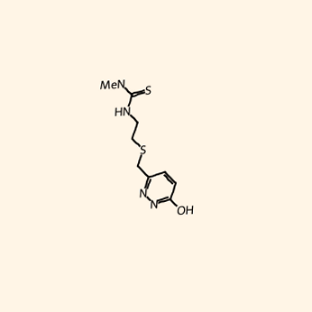 CNC(=S)NCCSCc1ccc(O)nn1